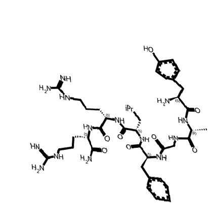 CC(C)C[C@H](NC(=O)[C@H](Cc1ccccc1)NC(=O)CNC(=O)[C@@H](C)NC(=O)[C@@H](N)Cc1ccc(O)cc1)C(=O)N[C@@H](CCCNC(=N)N)C(=O)N[C@@H](CCCNC(=N)N)C(N)=O